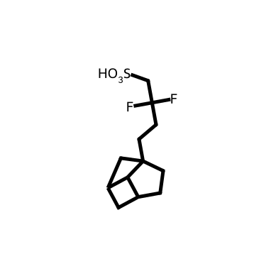 O=S(=O)(O)CC(F)(F)CCC12CCC3CC(C1)C32